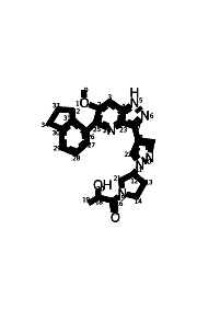 COc1cc2[nH]nc(-c3cnn(C4CCN(C(=O)C(C)O)C4)c3)c2nc1-c1cccc2c1CCC2